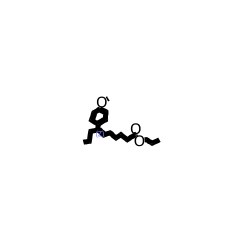 CCCOC(=O)CCCC/C=C(/CCC)c1ccc(OC)cc1